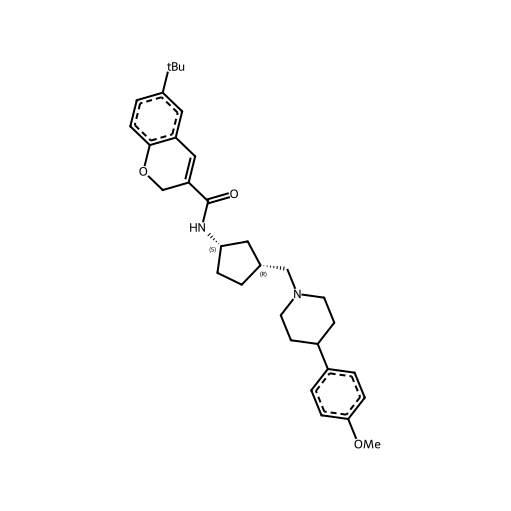 COc1ccc(C2CCN(C[C@@H]3CC[C@H](NC(=O)C4=Cc5cc(C(C)(C)C)ccc5OC4)C3)CC2)cc1